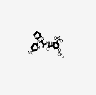 CC(NC(=O)c1cc(OC(F)(F)F)cc(S(C)(=O)=O)c1)c1nc2cccnc2n1-c1ccc(C#N)cn1